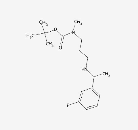 CC(NCCCN(C)C(=O)OC(C)(C)C)c1cccc(F)c1